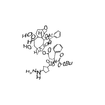 CC(=O)O[C@]12COC1C[C@@H](O)[C@]13O[C@H]1[C@@H](O)[C@H]1C(C)[C@H](OC(=O)[C@@H](OC(=O)C4CCC(NN)C4)[C@H](NC(=O)OC(C)(C)C)c4ccccc4)C[C@](O)([C@H](OC(=O)c4ccccc4)[C@H]32)C1(C)C